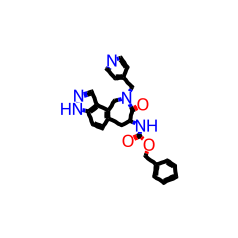 O=C(NC1Cc2ccc3[nH]ncc3c2CN(Cc2ccncc2)C1=O)OCc1ccccc1